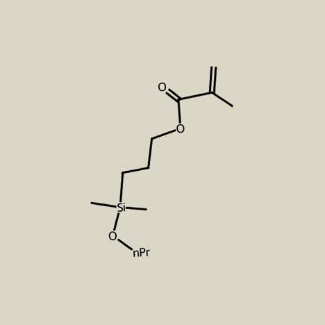 C=C(C)C(=O)OCCC[Si](C)(C)OCCC